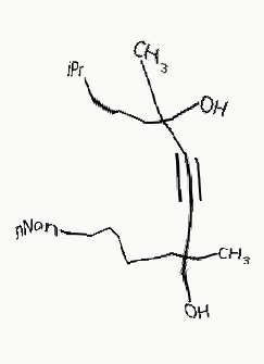 CCCCCCCCCCCC(C)(O)C#CC(C)(O)CC(C)C